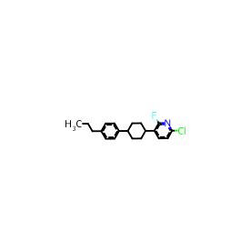 CCCc1ccc(C2CCC(c3ccc(Cl)nc3F)CC2)cc1